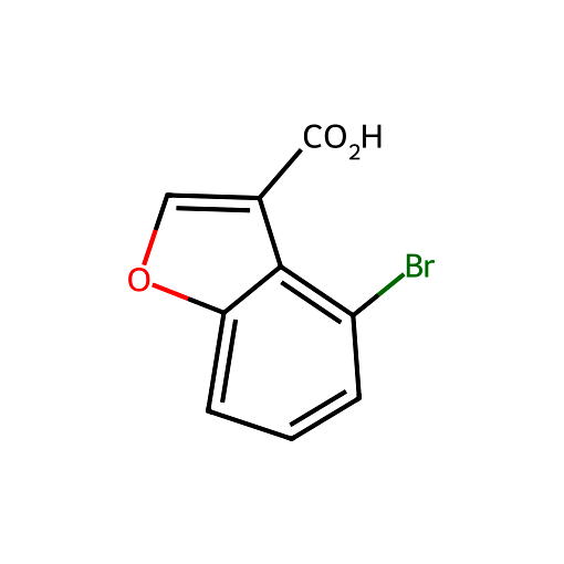 O=C(O)c1coc2cccc(Br)c12